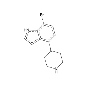 Brc1ccc(N2CCNCC2)c2cc[nH]c12